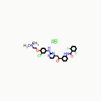 CN(C)CCOc1ccc(Nc2nccc(CC(=O)c3cccc(NC(=O)c4c(F)cccc4F)c3)n2)cc1Cl.Cl.Cl